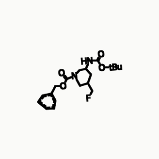 CC(C)(C)OC(=O)NC1CC(CF)CN(C(=O)OCc2ccccc2)C1